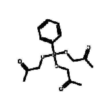 CC(=O)CO[Si](OCC(C)=O)(OCC(C)=O)c1ccccc1